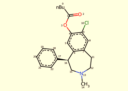 CCCCC(=O)Oc1cc2c(cc1Cl)CCN(C)C[C@H]2c1ccccc1